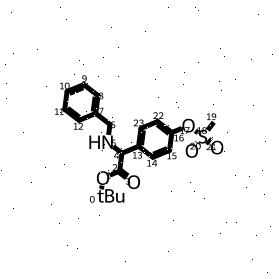 CC(C)(C)OC(=O)C(NCc1ccccc1)c1ccc(OS(C)(=O)=O)cc1